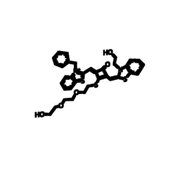 O=C1C(/C=C2/Sc3ccccc3N2CCO)=C(SCCOCCOCCO)C/1=C\c1sc2ccccc2[n+]1Cc1ccccc1